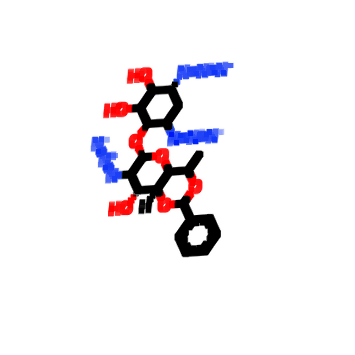 CC1OC(c2ccccc2)O[C@@H]2C1O[C@H](O[C@@H]1C(N=[N+]=[N-])C[C@@H](N=[N+]=[N-])C(O)C1O)C(N=[N+]=[N-])[C@H]2O